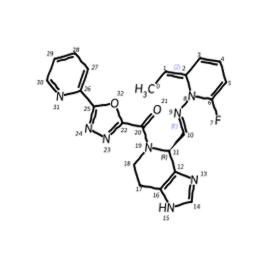 C/C=C1/C=CC=C(F)N1/N=C/[C@H]1c2nc[nH]c2CCN1C(=O)c1nnc(-c2ccccn2)o1